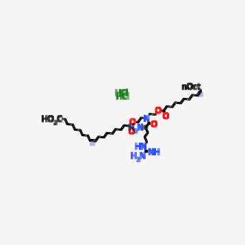 CCCCCCCC/C=C\CCCCCCCC(=O)OCCN(CCOC(=O)CCCCCCC/C=C\CCCCCCCC(=O)O)C(=O)[C@@H](N)CCCNC(=N)N.Cl.Cl